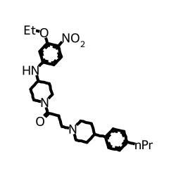 CCCc1ccc(C2CCN(CCC(=O)N3CCC(Nc4ccc([N+](=O)[O-])c(OCC)c4)CC3)CC2)cc1